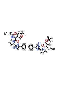 CNC(C(=O)N1C(C)CCC1c1nc(-c2ccc(-c3ccc(-c4c[nH]c([C@@H]5CCCN5C(=O)C(NC(=O)OC)C5CCC6(CC6)OC5)n4)cc3)cc2)c[nH]1)C1CCC2(CC2)OC1